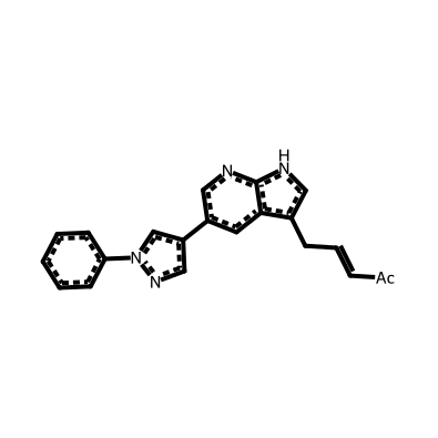 CC(=O)/C=C/Cc1c[nH]c2ncc(-c3cnn(-c4ccccc4)c3)cc12